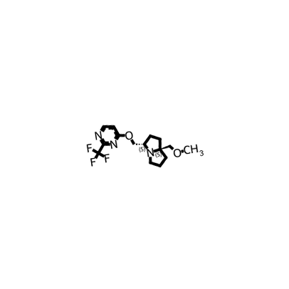 COC[C@@]12CCCN1[C@H](COc1ccnc(C(F)(F)F)n1)CC2